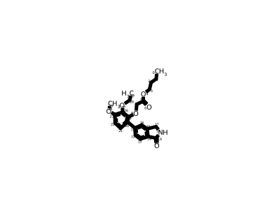 CCCCOC(=O)COc1c(-c2ccc3c(c2)CNC3=O)ccc(OC)c1OCC